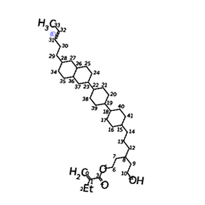 C=C(CC)C(=O)OCCC(CCO)CCCC1CCC(C2CCC(C3CCC4CC(CC/C=C/C)CCC4C3)CC2)CC1